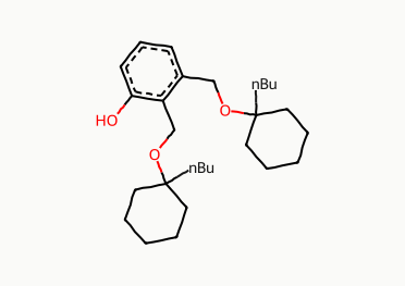 CCCCC1(OCc2cccc(O)c2COC2(CCCC)CCCCC2)CCCCC1